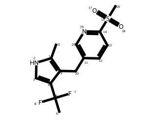 Cc1[nH]cc(C(C)(F)F)c1Cc1ccc(S(C)(=O)=O)nc1